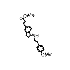 COC(=O)/C=C/c1ccc2c(c1)CCC2NCCc1ccc(OC)cc1